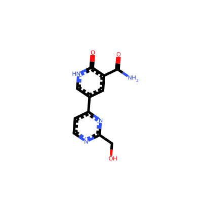 NC(=O)c1cc(-c2ccnc(CO)n2)c[nH]c1=O